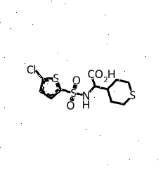 O=C(O)C(NS(=O)(=O)c1ccc(Cl)s1)C1CCSCC1